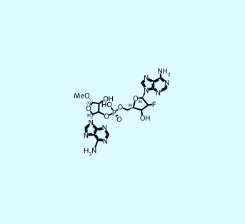 CO[C@H]1O[C@@H](n2cnc3c(N)ncnc32)C(OP(=O)(O)OC[C@H]2O[C@@H](n3cnc4c(N)ncnc43)C(F)C2O)C1O